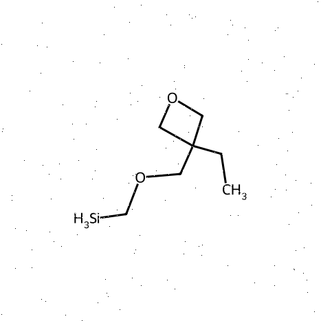 CCC1(COC[SiH3])COC1